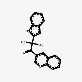 CC(C)(C(=O)c1cnc2ccccc2c1)c1cc2ccccc2[nH]1